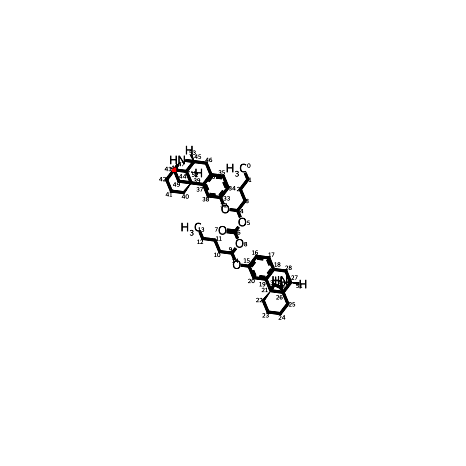 CCCCC(OC(=O)OC(CCCC)Oc1ccc2c(c1)[C@@]13CCCC[C@H]1[C@@H](C2)NCC3)Oc1ccc2c(c1)[C@@]13CCCC[C@H]1[C@@H](C2)NCC3